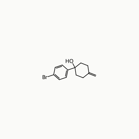 C=C1CCC(O)(c2ccc(Br)cc2)CC1